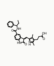 CCC(NC(=O)c1ccc2c(c1)C(=Cc1[nH]c(C)c(CCC(=O)O)c1C)C(=O)N2)c1ccccc1